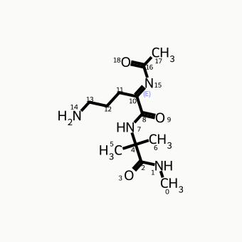 CNC(=O)C(C)(C)NC(=O)/C(CCCN)=N/C(C)=O